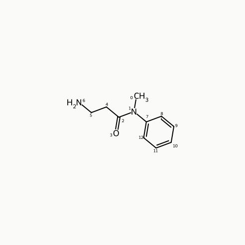 CN(C(=O)CCN)c1[c]cccc1